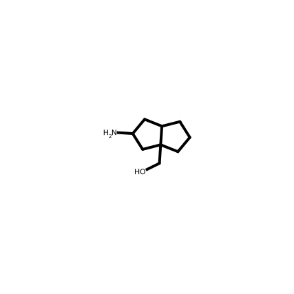 NC1CC2CCCC2(CO)C1